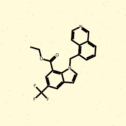 CCOC(=O)c1cc(C(F)(F)F)cc2ccn(Cc3cccc4cnccc34)c12